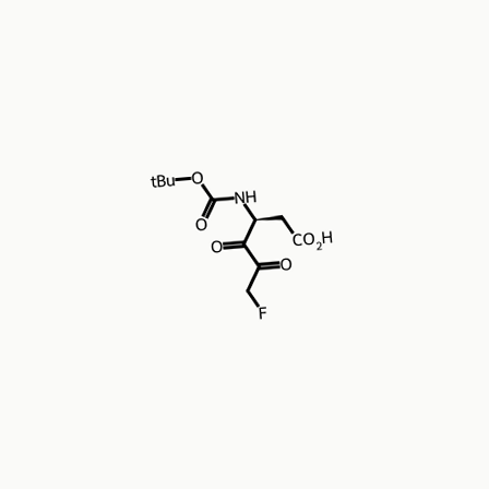 CC(C)(C)OC(=O)N[C@@H](CC(=O)O)C(=O)C(=O)CF